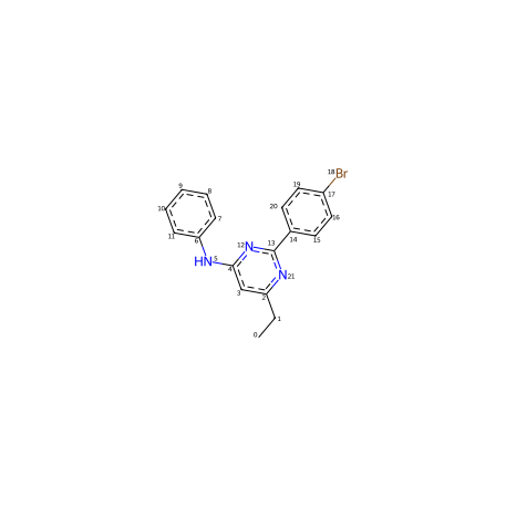 CCc1cc(Nc2ccccc2)nc(-c2ccc(Br)cc2)n1